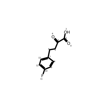 O=C(O)C(=O)CCc1ccc(F)cc1